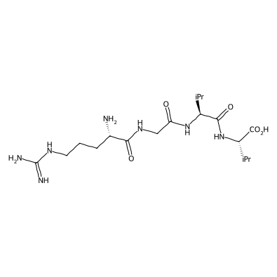 CC(C)[C@H](NC(=O)[C@@H](NC(=O)CNC(=O)[C@@H](N)CCCNC(=N)N)C(C)C)C(=O)O